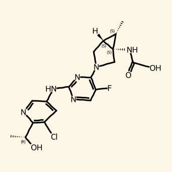 C[C@@H](O)c1ncc(Nc2ncc(F)c(N3C[C@@H]4[C@H](C)[C@@]4(NC(=O)O)C3)n2)cc1Cl